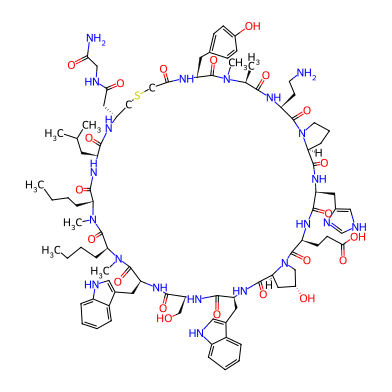 CCCC[C@H]1C(=O)N(C)[C@@H](CCCC)C(=O)N[C@@H](CC(C)C)C(=O)N[C@H](CC(=O)NCC(N)=O)CSCC(=O)N[C@@H](Cc2ccc(O)cc2)C(=O)N(C)[C@@H](C)C(=O)N[C@@H](CCN)C(=O)N2CCC[C@H]2C(=O)N[C@@H](Cc2c[nH]cn2)C(=O)N[C@@H](CCC(=O)O)C(=O)N2C[C@H](O)C[C@H]2C(=O)N[C@@H](Cc2c[nH]c3ccccc23)C(=O)N[C@@H](CO)C(=O)N[C@@H](Cc2c[nH]c3ccccc23)C(=O)N1C